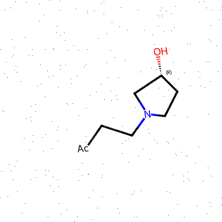 CC(=O)CCN1CC[C@@H](O)C1